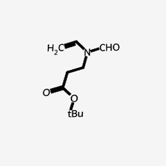 C=CN(C=O)CCC(=O)OC(C)(C)C